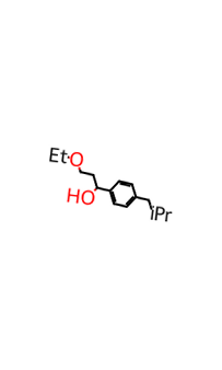 CCOCCC(O)c1ccc(CC(C)C)cc1